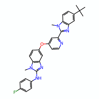 Cn1c(Nc2ccc(F)cc2)nc2cc(Oc3ccnc(-c4nc5cc(C(C)(C)C)ccc5n4C)c3)ccc21